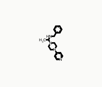 CC(NCc1ccccc1)N1CCN(c2ccncc2)CC1